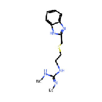 CC/N=C(\NC#N)NCCSCc1nc2ccccc2[nH]1